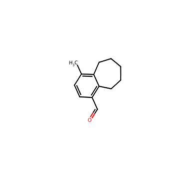 Cc1ccc(C=O)c2c1CCCCC2